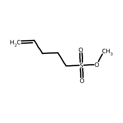 C=CCCCS(=O)(=O)OC